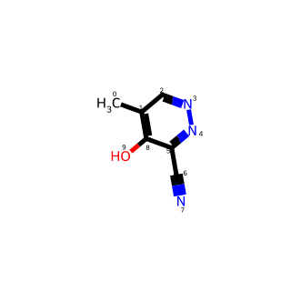 Cc1cnnc(C#N)c1O